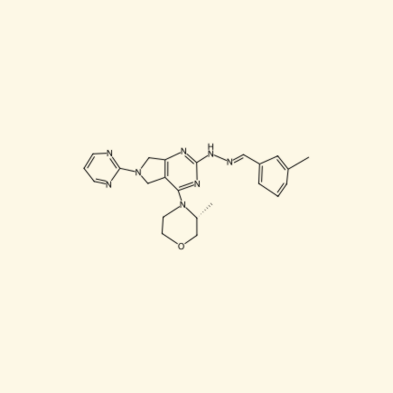 Cc1cccc(/C=N/Nc2nc3c(c(N4CCOC[C@H]4C)n2)CN(c2ncccn2)C3)c1